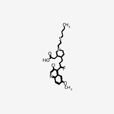 CCCCSCCN1CCC(CCC(F)c2c(Cl)cnc3ccc(OC)cc23)C(CC(=O)O)C1